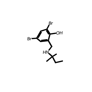 CCC(C)(C)NCc1cc(Br)cc(Br)c1O